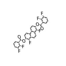 O=C(Oc1ccc2c(ccc3c(F)c(OC(=O)c4cccc(F)c4F)ccc32)c1F)c1cccc(F)c1F